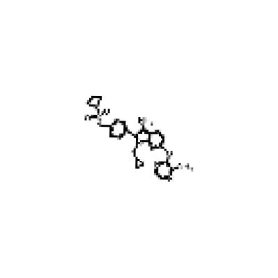 Nc1nccnc1Oc1ccc2c(N)c(-c3ccc(NS(=O)(=O)C4CCC4)cc3)n(CC3CC3)c2c1